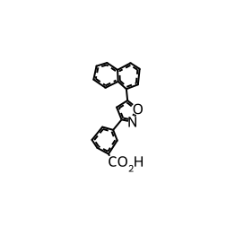 O=C(O)c1cccc(-c2cc(-c3cccc4ccccc34)on2)c1